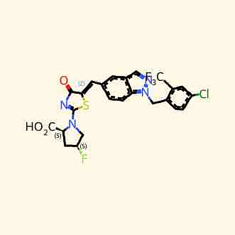 O=C1N=C(N2C[C@@H](F)C[C@H]2C(=O)O)S/C1=C\c1ccc2c(cnn2Cc2ccc(Cl)cc2C(F)(F)F)c1